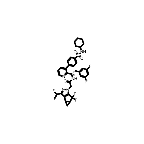 O=C(Cn1nc(C(F)F)c2c1C(F)(F)C1CC21)N[C@@H](Cc1cc(F)cc(F)c1)c1ncccc1-c1ccc(S(=O)(=O)NC2CCCCC2)cc1